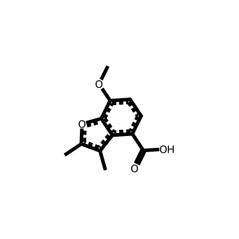 COc1ccc(C(=O)O)c2c(C)c(C)oc12